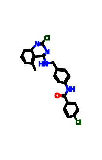 Cc1cccc2nc(Cl)nc(NCc3ccc(NC(=O)c4ccc(Cl)cc4)cc3)c12